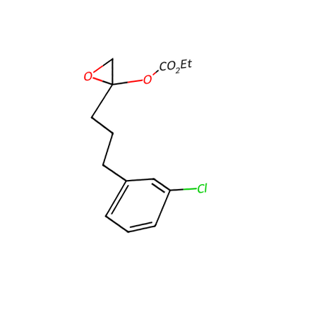 CCOC(=O)OC1(CCCc2cccc(Cl)c2)CO1